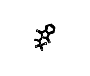 CC(N1C(=O)c2ccccc2C1=O)S(=O)(=O)Cl